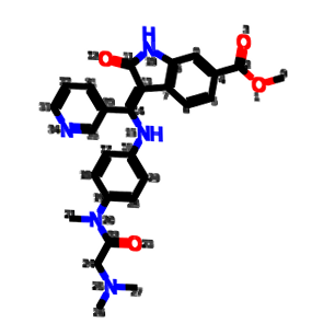 COC(=O)c1ccc2c(c1)NC(=O)C2=C(Nc1ccc(N(C)C(=O)CN(C)C)cc1)c1cccnc1